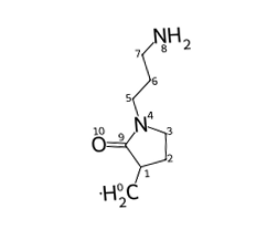 [CH2]C1CCN(CCCN)C1=O